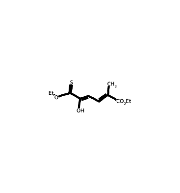 CCOC(=O)C(C)=CC=C(O)C(=S)OCC